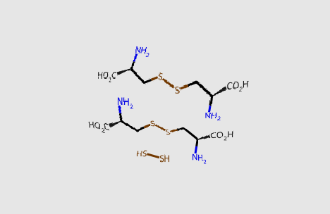 N[C@@H](CSSC[C@H](N)C(=O)O)C(=O)O.N[C@@H](CSSC[C@H](N)C(=O)O)C(=O)O.SS